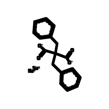 O=C([O-])C(Cc1ccccc1)(Cc1ccccc1)C(=O)[O-].[Na+].[Na+]